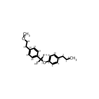 CCCc1ccc(OC(F)(F)c2ccc(CCOC)cc2)cc1